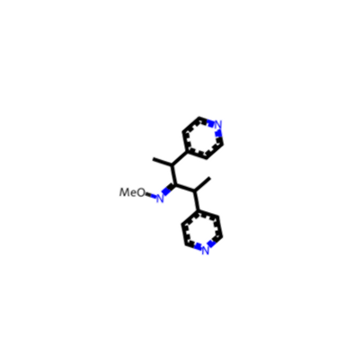 CON=C(C(C)c1ccncc1)C(C)c1ccncc1